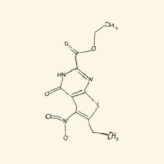 CCOC(=O)c1nc2sc(CC)c([N+](=O)[O-])c2c(=O)[nH]1